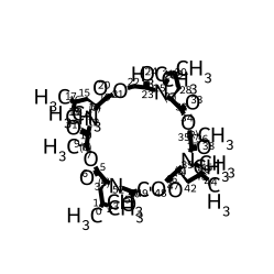 CC(C)C[C@H]1C(=O)O[C@H](C)C(=O)N(C)[C@@H](CC(C)C)C(=O)OCC(=O)N(C)[C@@H](CC(C)C)C(=O)O[C@H](C)C(=O)N(C)[C@@H](CC(C)C)C(=O)OCC(=O)N1C